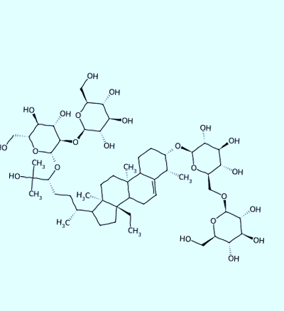 CC[C@@]12CCC([C@H](C)CC[C@@H](O[C@@H]3O[C@H](CO)[C@@H](O)[C@H](O)[C@H]3O[C@H]3O[C@@H](CO)[C@H](O)[C@@H](O)[C@@H]3O)C(C)(C)O)[C@@]1(C)CC[C@@]1(C)C3CC[C@H](O[C@@H]4O[C@H](CO[C@@H]5O[C@H](CO)[C@@H](O)[C@H](O)[C@H]5O)[C@@H](O)[C@H](O)[C@H]4O)[C@H](C)C3=CCC12